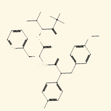 COc1ccc(CC(C(=O)N[C@@H](Cc2ccccn2)C(=O)N[C@H](C(=O)C(F)(F)F)C(C)C)c2ccc(Cl)cc2)cc1